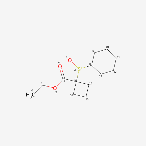 CCOC(=O)C1([S+]([O-])C2CCCCC2)CCC1